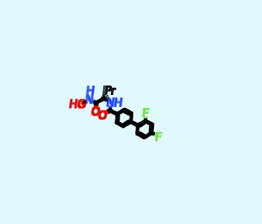 CC(C)[C@H](NC(=O)c1ccc(-c2ccc(F)cc2F)cc1)C(=O)NO